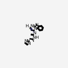 C=C(/N=C(\C=C/N)n1nnc2ccccc21)N[C@@H](C)Cn1nccn1